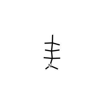 CN(C)C(C)(C)C(C)(C)C(C)(C)C